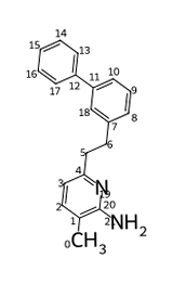 Cc1ccc(CCc2cccc(-c3ccccc3)c2)nc1N